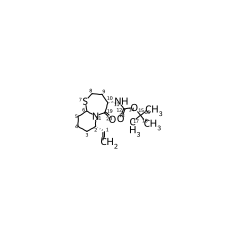 C=C[C@@H]1CCCC2SCC[C@H](NC(=O)OC(C)(C)C)C(=O)N21